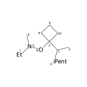 CCCC(C)C(C)C1(ON(C)CC)CCC1